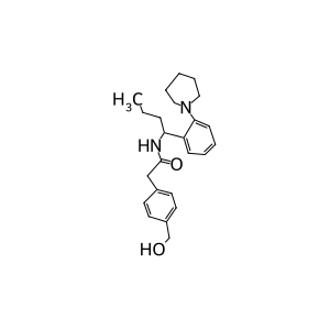 CCCC(NC(=O)Cc1ccc(CO)cc1)c1ccccc1N1CCCCC1